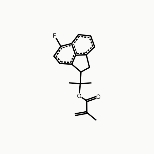 C=C(C)C(=O)OC(C)(C)C1Cc2cccc3c(F)ccc1c23